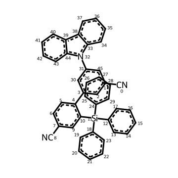 N#Cc1cc(-c2ccc(C#N)cc2[Si](c2ccccc2)(c2ccccc2)c2ccccc2)cc(-n2c3ccccc3c3ccccc32)c1